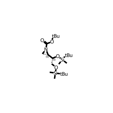 CC(C)(C)OC(=O)N1C[C@H]1[C@@H](CO[Si](C)(C)C(C)(C)C)O[Si](C)(C)C(C)(C)C